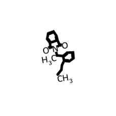 CCCCc1ccccc1[C@@H](C)N1C(=O)c2ccccc2C1=O